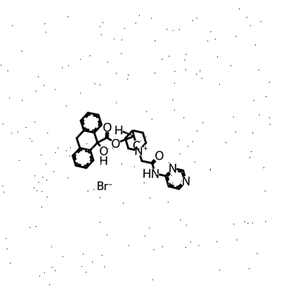 O=C(C[N+]12CCC(CC1)[C@@H](OC(=O)C1(O)c3ccccc3Cc3ccccc31)C2)Nc1ccncn1.[Br-]